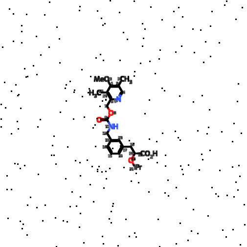 COc1c(C)cnc(COC(=O)NCc2cccc(C[C@H](OC(C)C)C(=O)O)c2)c1C